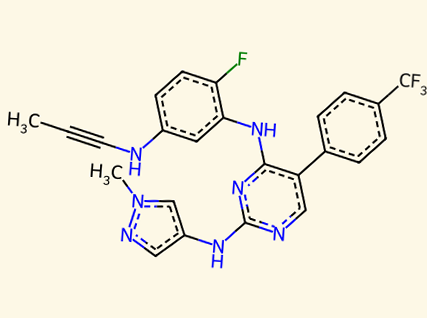 CC#CNc1ccc(F)c(Nc2nc(Nc3cnn(C)c3)ncc2-c2ccc(C(F)(F)F)cc2)c1